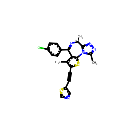 Cc1c(C#Cc2cncs2)sc2c1C(c1ccc(Cl)cc1)=N[C@@H](C)c1nnc(C)n1-2